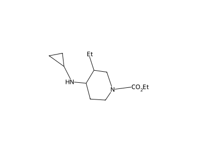 CCOC(=O)N1CCC(NC2CC2)C(CC)C1